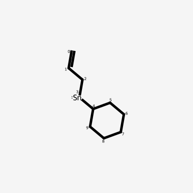 C=C[CH2][Sn][CH]1CCCCC1